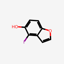 Oc1ccc2occc2c1I